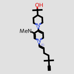 C#CC(C)(C)CC/C=C/N1C=C(NC)C(N2CCC(C(C)(C)O)CC2)=CC1